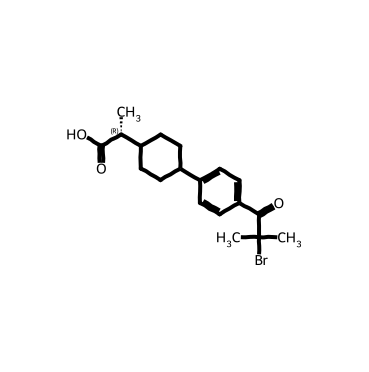 C[C@@H](C(=O)O)C1CCC(c2ccc(C(=O)C(C)(C)Br)cc2)CC1